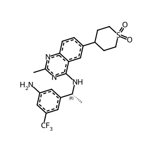 Cc1nc(N[C@H](C)c2cc(N)cc(C(F)(F)F)c2)c2cc(C3CCS(=O)(=O)CC3)ccc2n1